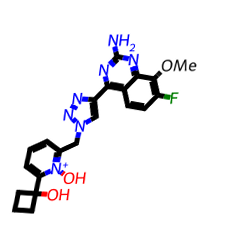 COc1c(F)ccc2c(-c3cn(Cc4cccc(C5(O)CCC5)[n+]4O)nn3)nc(N)nc12